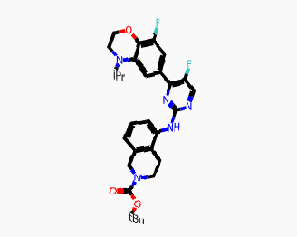 CC(C)N1CCOc2c(F)cc(-c3nc(Nc4cccc5c4CCN(C(=O)OC(C)(C)C)C5)ncc3F)cc21